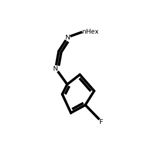 CCCCCCN=C=Nc1ccc(F)cc1